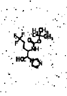 CC(C)(C)OC(=O)NC(CCC(F)(F)F)C(O)n1ccnc1